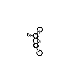 Brc1cc(N2CCCCC2)ccc1Cc1ccc(N2CCCCC2)cc1Br